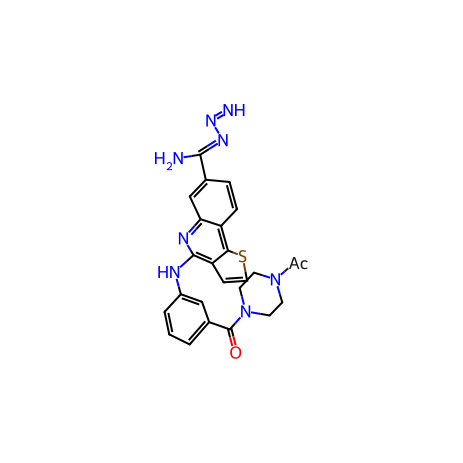 CC(=O)N1CCN(C(=O)c2cccc(Nc3nc4cc(/C(N)=N/N=N)ccc4c4sccc34)c2)CC1